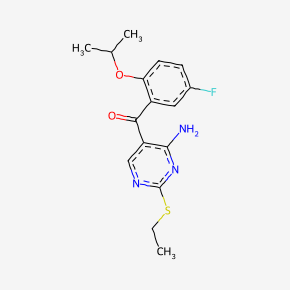 CCSc1ncc(C(=O)c2cc(F)ccc2OC(C)C)c(N)n1